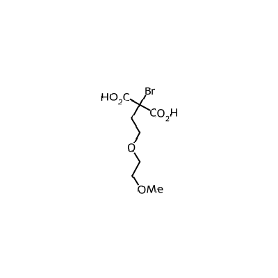 COCCOCCC(Br)(C(=O)O)C(=O)O